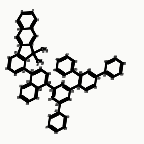 CC1(C)c2cc3ccccc3cc2-c2cccc(-c3ccc(-c4nc(-c5ccccc5)cc(-c5ccc(-c6ccccc6)cc5-c5ccccc5)n4)c4ccccc34)c21